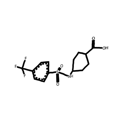 O=C(O)C1CCC(NS(=O)(=O)c2ccc(C(F)(F)F)cc2)CC1